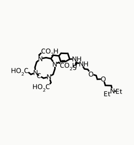 CCN(CC)CCOCCOCCNC(=S)NC1C=CC(CC2CN(CC(=O)O)CCN(CC(=O)O)CCN(CC(=O)O)CCN2CC(=O)O)CC1